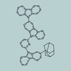 c1cc(-n2c3ccccc3c3cc(-n4c5ccccc5c5ccccc54)ccc32)nc(-n2c3ccccc3c3ccc(C45CC6CC(CC(C6)C4)C5)cc32)c1